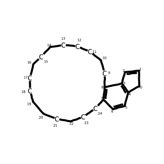 [CH]1C=Cc2c1ccc1c2CCCCCCCCCCCCCCCC1